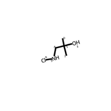 CC(C)(O)CNCl